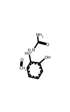 C=O.NC(N)=O.Oc1ccccc1O